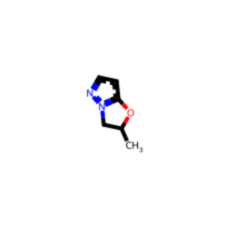 CC1Cn2nccc2O1